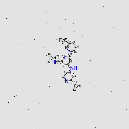 CC1(Nc2cc(Nc3ccnc(C4CC4)c3)nc(-c3cccc(C(F)(F)F)n3)n2)CC1